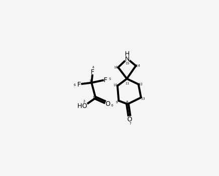 O=C(O)C(F)(F)F.O=C1CCC2(CC1)CNC2